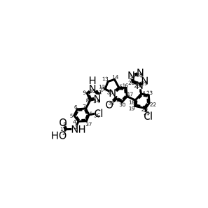 O=C(O)Nc1ccc(-c2c[nH]c([C@@H]3CCc4cc(-c5cc(Cl)ccc5-n5cnnn5)cc(=O)n43)n2)c(Cl)c1